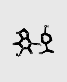 Cn1c(=O)c2[nH]cnc2n(C)c1=O.O=C(O)c1ccc(O)cc1